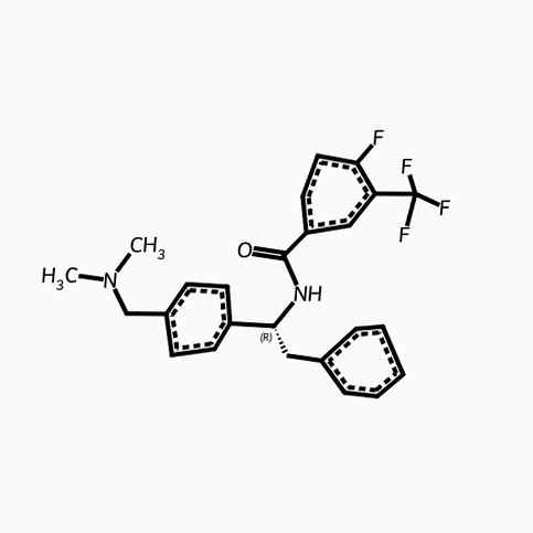 CN(C)Cc1ccc([C@@H](Cc2ccccc2)NC(=O)c2ccc(F)c(C(F)(F)F)c2)cc1